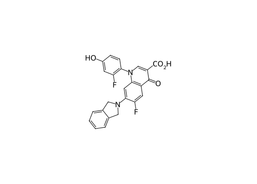 O=C(O)c1cn(-c2ccc(O)cc2F)c2cc(N3Cc4ccccc4C3)c(F)cc2c1=O